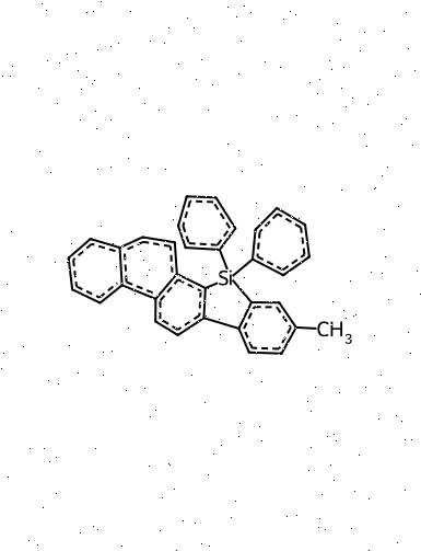 Cc1ccc2c(c1)[Si](c1ccccc1)(c1ccccc1)c1c-2ccc2c1ccc1ccccc12